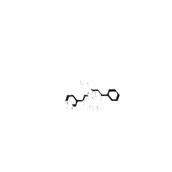 CCC(CCc1ccccc1)NCC(O)c1cccnc1